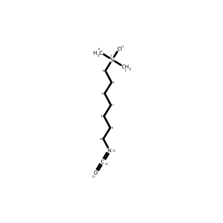 C[Si](C)(Cl)CCCCCCCN=C=O